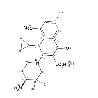 COc1cc(F)cc2c(=O)c(C(=O)O)c(N3CC[C@H](N)C(C)(C)C3)n(C3CC3)c12.Cl